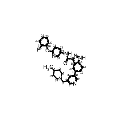 CC1CCN(Cc2cncc(-c3ccc4[nH]nc(C(=O)Nc5ccc(Oc6ccccc6F)nc5)c4c3)c2)CC1